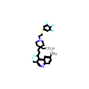 COc1ccc2ncc(CF)c(C(F)CCC3(CC(=O)O)CCN(CCSc4cc(F)c(F)c(F)c4)CC3)c2c1